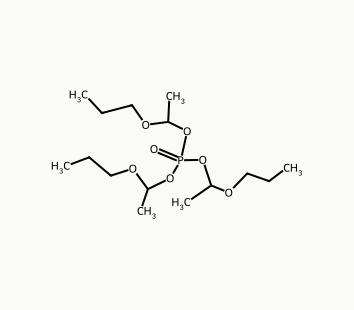 CCCOC(C)OP(=O)(OC(C)OCCC)OC(C)OCCC